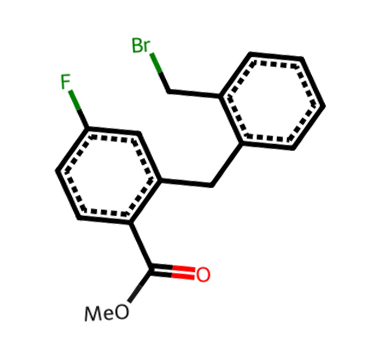 COC(=O)c1ccc(F)cc1Cc1ccccc1CBr